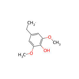 [CH2]Cc1cc(OC)c(O)c(OC)c1